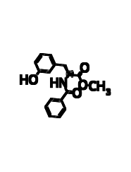 COC(=O)[C@H](Cc1cccc(O)c1)NC(=O)c1ccccc1